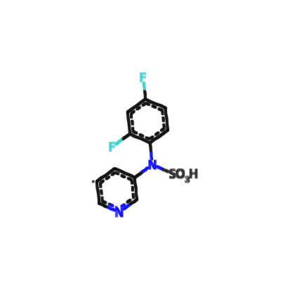 O=S(=O)(O)N(c1c[c]cnc1)c1ccc(F)cc1F